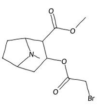 COC(=O)C1C(OC(=O)CBr)CC2CCC1N2C